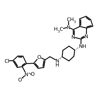 CN(C)c1nc(N[C@H]2CC[C@@H](NCc3ccc(-c4ccc(Cl)cc4[N+](=O)[O-])o3)CC2)nc2ccccc12